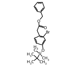 CC(C)(C)[Si](C)(C)Oc1ccc(CC(=O)OCc2ccccc2)c(Br)c1